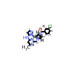 Cc1cc(Nc2ccnn2C(C)(C)C)nc(CN2C[C@H]3C[C@@H]2CN3C(=O)c2cccc(Cl)c2F)n1